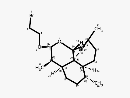 C[C@H]1[C@@H](OCCBr)O[C@@H]2OC3(C)CC[C@H]4[C@H](C)CC[C@@H]1[C@@]24OO3